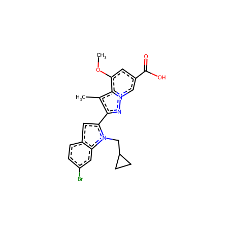 COc1cc(C(=O)O)cn2nc(-c3cc4ccc(Br)cc4n3CC3CC3)c(C)c12